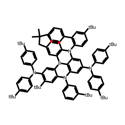 CC1(C)Cc2cc3c(cc2C1)N(c1ccc(C(C)(C)C)cc1-c1ccccc1)c1cc(N(c2ccc(C(C)(C)C)cc2)c2ccc(C(C)(C)C)cc2)cc2c1B3c1cc(N(c3ccc(C(C)(C)C)cc3)c3ccc(C(C)(C)C)cc3)c(C(C)(C)C)cc1N2c1cccc(C(C)(C)C)c1